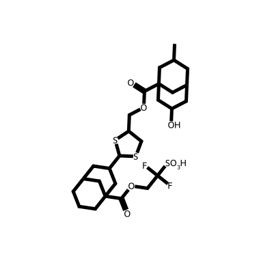 CC1CC2CC(O)CC(C(=O)OCC3CSC(C4CC5CCCC(C(=O)OCC(F)(F)S(=O)(=O)O)(C5)C4)S3)(C1)C2